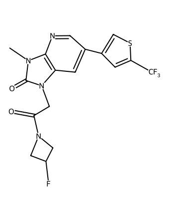 Cn1c(=O)n(CC(=O)N2CC(F)C2)c2cc(-c3csc(C(F)(F)F)c3)cnc21